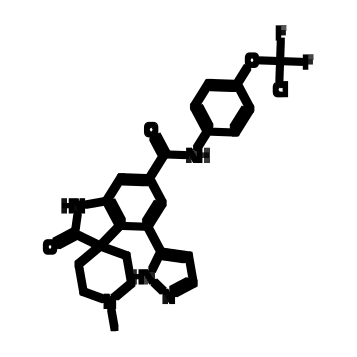 CN1CCC2(CC1)C(=O)Nc1cc(C(=O)Nc3ccc(OC(F)(F)Cl)cc3)cc(-c3ccn[nH]3)c12